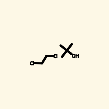 CC(C)(C)O.ClCCCl